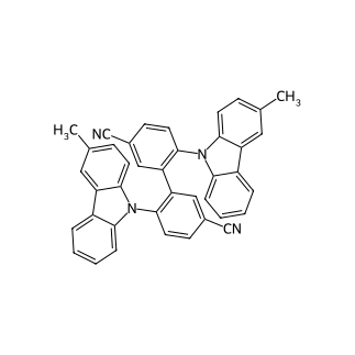 Cc1ccc2c(c1)c1ccccc1n2-c1ccc(C#N)cc1-c1cc(C#N)ccc1-n1c2ccccc2c2cc(C)ccc21